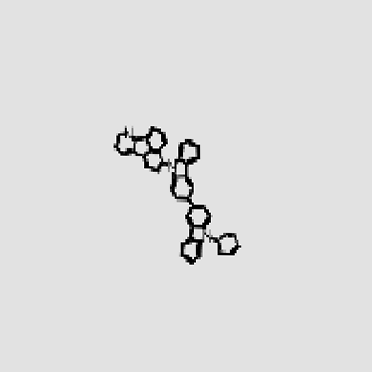 c1ccc(-n2c3ccccc3c3cc(-c4ccc5c(c4)c4ccccc4n5-c4ccc5c6c(cccc46)-c4ncccc4-5)ccc32)cc1